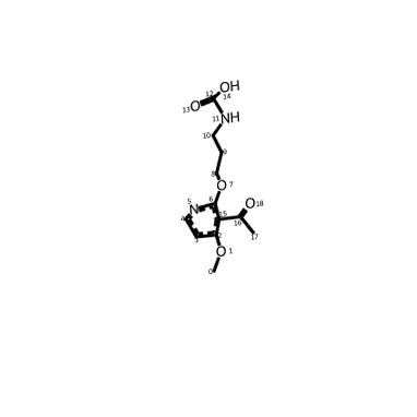 COc1ccnc(OCCCNC(=O)O)c1C(C)=O